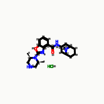 C[C@@H]1CNC[C@H](C)N1c1nc2c(C(=O)NC3CC4CCCC(C3)N4C)cccc2o1.Cl